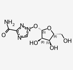 NC(=O)c1ncn(O[C@@H]2O[C@H](CO)[C@@H](O)[C@H]2O)n1